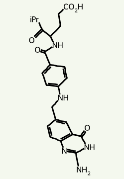 CC(C)C(=O)C(CCC(=O)O)NC(=O)c1ccc(NCc2ccc3nc(N)[nH]c(=O)c3c2)cc1